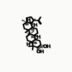 C=C(C)[C@@H]1CC[C@]2(C)CC[C@]3(C)[C@H](CC[C@@H]4[C@@]5(C)C[C@H](O)[C@H](O)C(C)(C)[C@@H]5CC[C@]43C)[C@@H]12